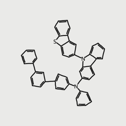 c1ccc(-c2cccc(-c3ccc(N(c4ccccc4)c4ccc5c6ccccc6n(-c6ccc7sc8ccccc8c7c6)c5c4)cc3)c2)cc1